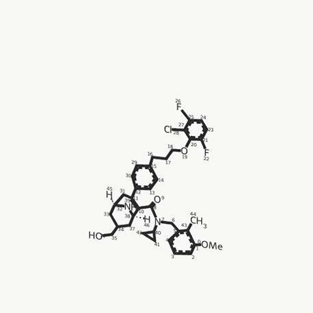 COc1cccc(CN(C(=O)C2=C(c3ccc(CCCOc4c(F)ccc(F)c4Cl)cc3)C[C@@H]3CC(CO)C[C@H]2N3)C2CC2)c1C